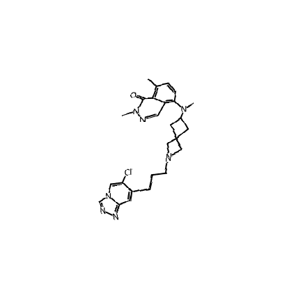 Cc1ccc(N(C)C2CC3(C2)CN(CCCc2cc4nncn4cc2Cl)C3)c2cnn(C)c(=O)c12